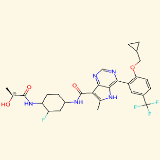 Cc1[nH]c2c(-c3cc(C(F)(F)F)ccc3OCC3CC3)ncnc2c1C(=O)NC1CCC(NC(=O)[C@H](C)O)C(F)C1